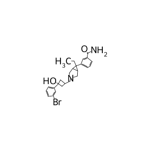 CCC1(c2cccc(C(N)=O)c2)C2CN(CC3CC(O)(c4cccc(Br)c4)C3)CC21